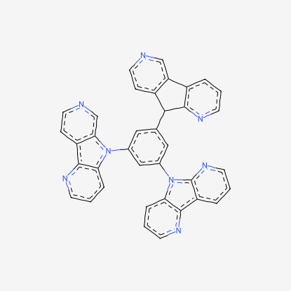 c1cnc2c(c1)-c1cnccc1C2c1cc(-n2c3cnccc3c3ncccc32)cc(-n2c3cccnc3c3cccnc32)c1